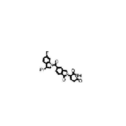 CC(C)C1CN(C(=O)c2ccc3c(c2)CN(C2CCC(=O)NC2=O)C3=O)c2cc(F)ccc21